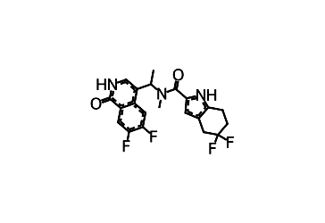 CC(c1c[nH]c(=O)c2cc(F)c(F)cc12)N(C)C(=O)c1cc2c([nH]1)CCC(F)(F)C2